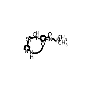 CN(C)CCNC(=O)c1ccc2c(c1)OCCCCCNc1cc(ccn1)-c1nc(cs1)C(=O)N2